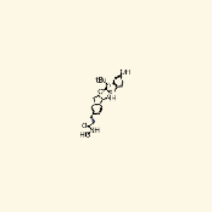 CC(C)(C)OC(=O)[C@H](Cc1ccc(O)cc1)NC1CCc2cc(/C=C/C(=O)NO)ccc21